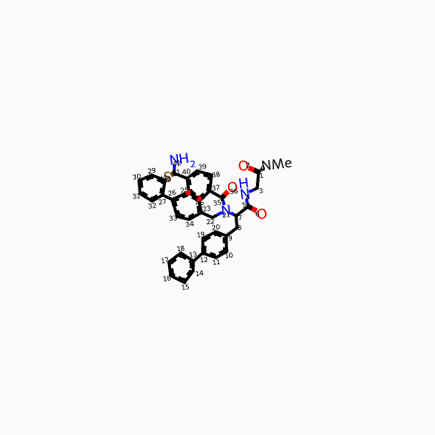 CNC(=O)CNC(=O)C(Cc1ccc(-c2ccccc2)cc1)N(Cc1ccc(-c2ccccc2)cc1)C(=O)c1ccc(C(N)=S)cc1